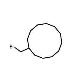 BrCC1CCCCCCCCCCC1